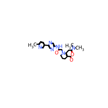 Cc1ccc(-c2cnc(NC(=O)CN3CCCC(C=O)=C3CC(=O)N(C)C)cn2)cn1